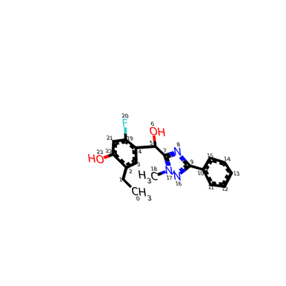 CCc1cc(C(O)c2nc(-c3ccccc3)nn2C)c(F)cc1O